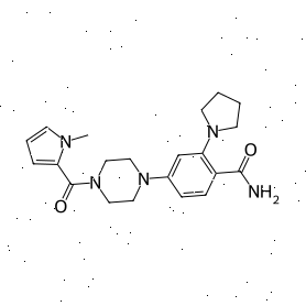 Cn1cccc1C(=O)N1CCN(c2ccc(C(N)=O)c(N3CCCC3)c2)CC1